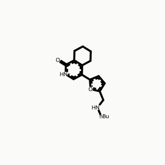 CCCCNCc1ccc(-c2c[nH]c(=O)c3c2CCCC3)o1